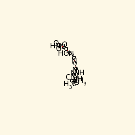 CP(C)(=O)c1ccccc1Nc1nc(Nc2ccc(C3CCN(c4ccc(CN5CCC(O)(c6ccc7c(c6)CN(C6CCC(=O)NC6=O)C7=O)CC5)cc4)CC3)cn2)ncc1Cl